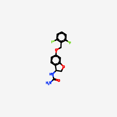 NC(=O)N[C@@H]1COc2cc(OCc3c(F)cccc3F)ccc21